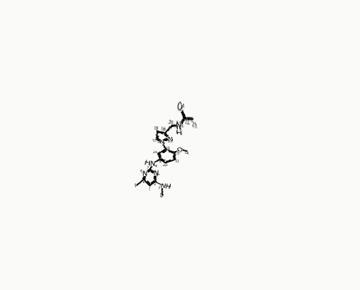 CNc1cc(C)nc(Nc2ccc(OC)c(-n3ccc(CNC(C)=O)n3)c2)n1